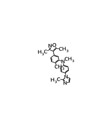 Cc1ccc(-c2c(C)noc2C)cc1N(C)c1ccc(-n2ccnc2C)cc1